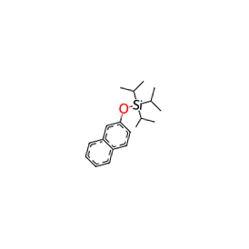 CC(C)[Si](Oc1ccc2ccccc2c1)(C(C)C)C(C)C